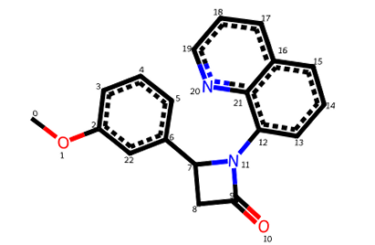 COc1cccc(C2CC(=O)N2c2cccc3cccnc23)c1